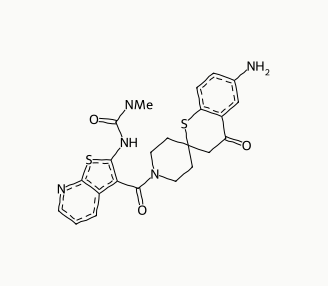 CNC(=O)Nc1sc2ncccc2c1C(=O)N1CCC2(CC1)CC(=O)c1cc(N)ccc1S2